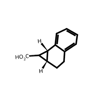 O=C(O)C1[C@H]2CCc3ccccc3[C@@H]12